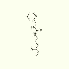 COC(=O)CCCSC(=S)NCC1CCCCO1